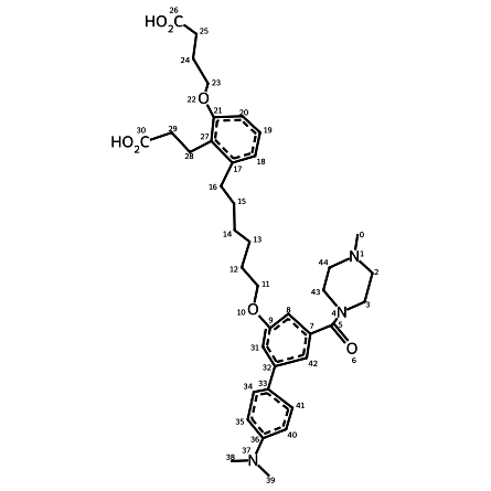 CN1CCN(C(=O)c2cc(OCCCCCCc3cccc(OCCCC(=O)O)c3CCC(=O)O)cc(-c3ccc(N(C)C)cc3)c2)CC1